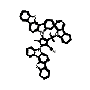 CC1C(n2c3ccccc3c3c4sc5ccccc5c4ccc32)=C(C#N)C(C(C)(C)n2c3ccccc3c3ccccc32)=C1n1c2ccccc2c2c3sc4ccccc4c3ccc21